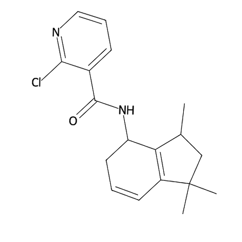 CC1CC(C)(C)C2=C1C(NC(=O)c1cccnc1Cl)CC=C2